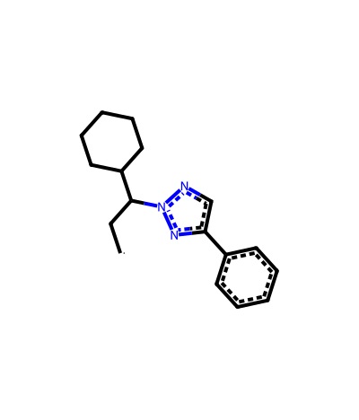 [CH2]CC(C1CCCCC1)n1ncc(-c2ccccc2)n1